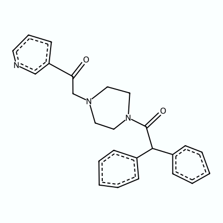 O=C(CN1CCN(C(=O)C(c2ccccc2)c2ccccc2)CC1)c1cccnc1